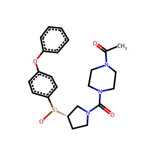 CC(=O)N1CCN(C(=O)N2CC[C@H]([S+]([O-])c3ccc(Oc4ccccc4)cc3)C2)CC1